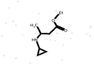 CCOC(=O)CC(C)NC1CC1